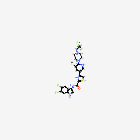 O=C(Nc1c[nH]c2cc(F)c(F)cc12)c1nc(-c2cnc(N3CCN(CC(F)(F)F)CC3)c(F)c2)cs1